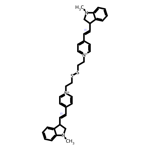 CN1CC(/C=C/c2cc[n+](CCSSCC[n+]3ccc(/C=C/C4CN(C)c5ccccc54)cc3)cc2)c2ccccc21